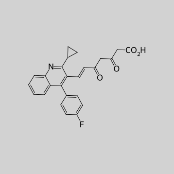 O=C(O)CC(=O)CC(=O)/C=C/c1c(C2CC2)nc2ccccc2c1-c1ccc(F)cc1